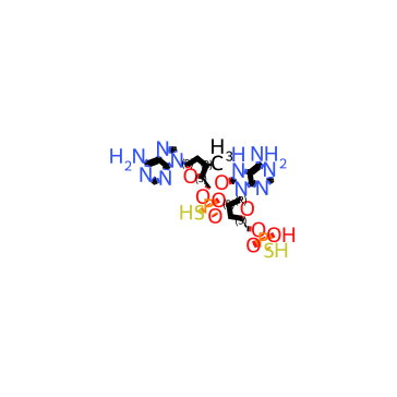 C[C@@H]1C[C@H](n2cnc3c(N)ncnc32)O[C@@H]1COP(=O)(S)O[C@@H]1C[C@@H](COP(=O)(O)S)O[C@H]1n1c(=O)[nH]c2c(N)ncnc21